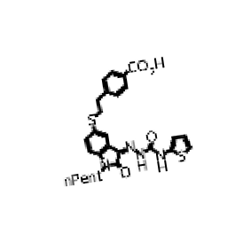 CCCCCN1C(=O)C(=NNC(=O)Nc2cccs2)c2cc(SCCc3ccc(C(=O)O)cc3)ccc21